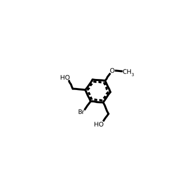 COc1cc(CO)c(Br)c(CO)c1